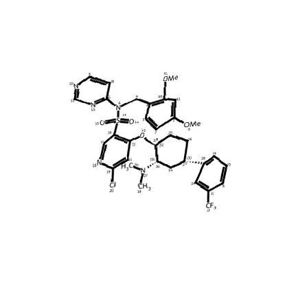 COc1ccc(CN(c2ccncn2)S(=O)(=O)c2cnc(Cl)cc2O[C@H]2CC[C@H](c3cccc(C(F)(F)F)c3)C[C@@H]2N(C)C)c(OC)c1